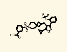 O=C(O)c1cccc(S(=O)(=O)N2CCC3(CC2)CC(=Cc2c(-c4ccccc4OC(F)(F)F)noc2C2CC2)C3)c1